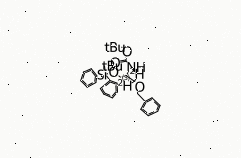 [2H]C([2H])(OCc1ccccc1)[C@H](CO[Si](c1ccccc1)(c1ccccc1)C(C)(C)C)NC(=O)OC(C)(C)C